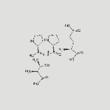 C[C@@H](O)[C@H](N)C(=O)O.N[C@@H](CCC(=O)O)C(=O)O.O=C(O)[C@@H]1CCCN1.O=C(O)[C@@H]1CCCN1